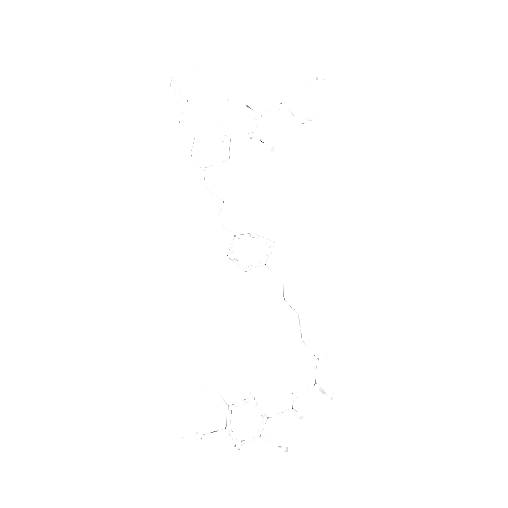 CCCCCCN(CCOc1ccc(CCCCNC(=N)NC(=O)c2nc(Cl)c(N)nc2N)cc1)C[C@@H](O)[C@H](O)[C@@H](O)[C@@H](C=O)CO